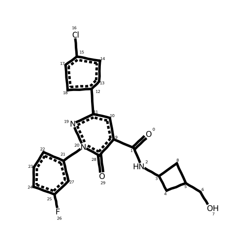 O=C(NC1CC(CO)C1)c1cc(-c2ccc(Cl)cc2)nn(-c2cccc(F)c2)c1=O